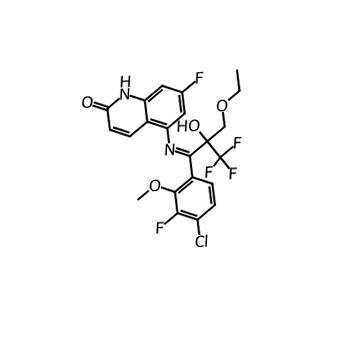 CCOCC(O)(/C(=N\c1cc(F)cc2[nH]c(=O)ccc12)c1ccc(Cl)c(F)c1OC)C(F)(F)F